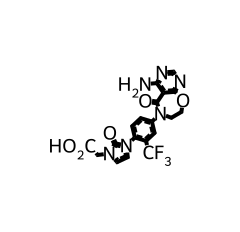 Nc1ncnc2c1C(=O)N(c1ccc(-n3ccn(CC(=O)O)c3=O)c(C(F)(F)F)c1)CCO2